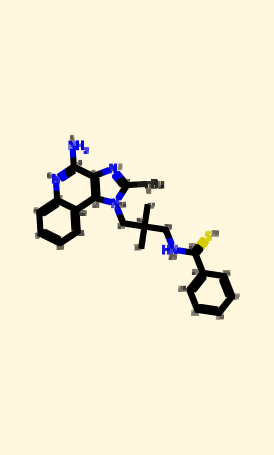 CCCCc1nc2c(N)nc3ccccc3c2n1CC(C)(C)CNC(=S)c1ccccc1